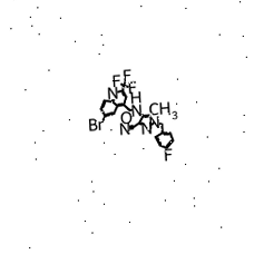 Cc1c(NC(=O)c2cc(C(F)(F)F)nc3ccc(Br)cc23)c(C#N)nn1Cc1ccc(F)cc1